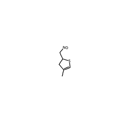 CC1=CSC(CN=O)C1